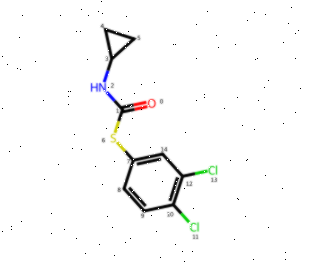 O=C(NC1CC1)Sc1ccc(Cl)c(Cl)c1